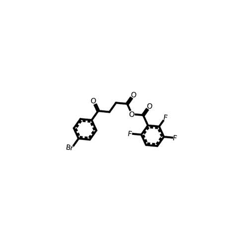 O=C(CCC(=O)c1ccc(Br)cc1)OC(=O)c1c(F)ccc(F)c1F